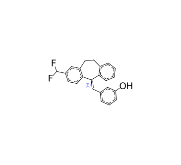 Oc1cccc(/C=C2\c3ccccc3CCc3cc(C(F)F)ccc32)c1